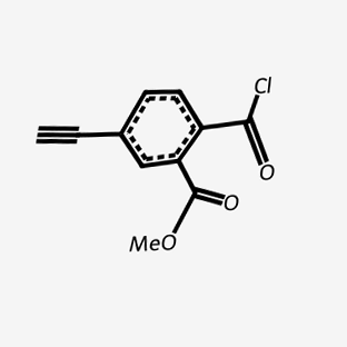 C#Cc1ccc(C(=O)Cl)c(C(=O)OC)c1